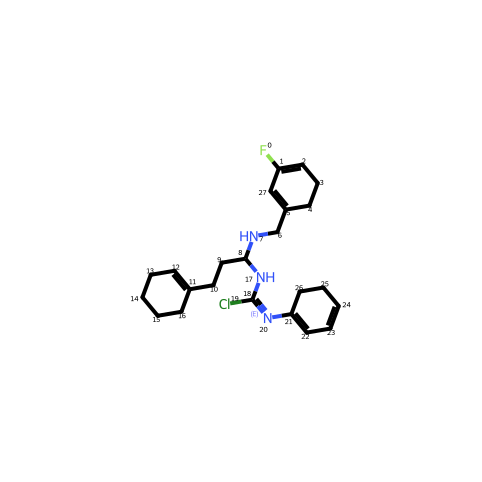 FC1=CCCC(CNC(CCC2=CCCCC2)N/C(Cl)=N\C2=CC=CCC2)=C1